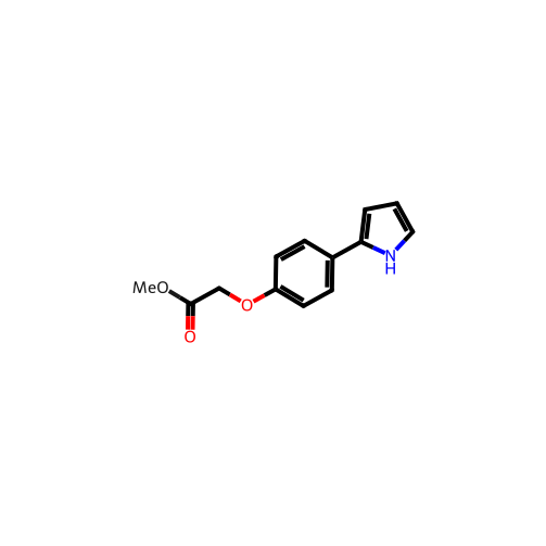 COC(=O)COc1ccc(-c2ccc[nH]2)cc1